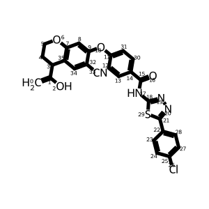 C=C(O)C1CCOc2cc(Oc3ccc(C(=O)Nc4nnc(-c5ccc(Cl)cc5)s4)cc3)c(C#N)cc21